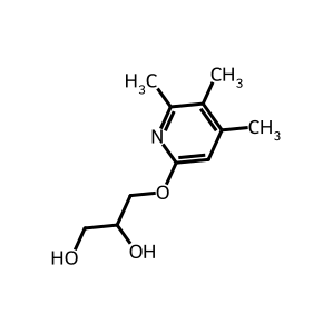 Cc1cc(OCC(O)CO)nc(C)c1C